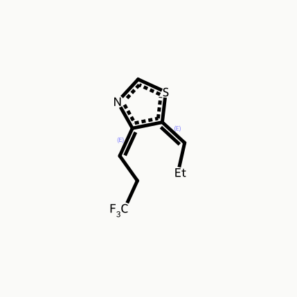 CC/C=c1/scn/c1=C/CC(F)(F)F